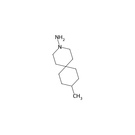 CC1CCC2(CC1)CCN(N)CC2